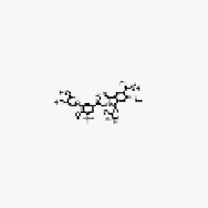 CCOc1cc2c(cc1C(=O)NC)C(=N)N(CC(=O)c1cc(N3CC(O)C(O)C3)c(OC)c(C(C)(C)C)c1)C2OC(=O)C(F)(F)F